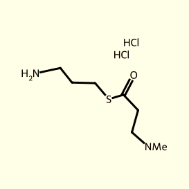 CNCCC(=O)SCCCN.Cl.Cl